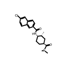 C[C@@H]1C[C@@H](C(=O)N(C)C)CC[C@@H]1NC(=O)c1ccc2cc(Cl)ccc2c1